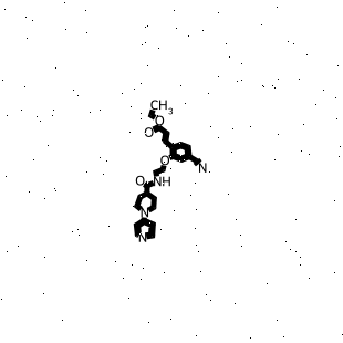 CCOC(=O)C=Cc1ccc(C#N)cc1OCCNC(=O)C1CCN(c2ccncc2)CC1